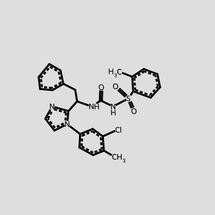 Cc1ccc(-n2ccnc2C(Cc2ccccc2)NC(=O)NS(=O)(=O)c2ccccc2C)cc1Cl